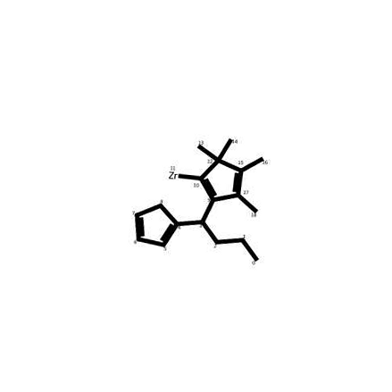 CCCC(C1=CC=CC1)C1=[C]([Zr])C(C)(C)C(C)=C1C